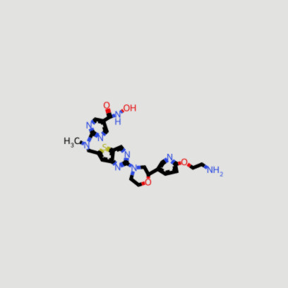 CN(Cc1cc2nc(N3CCOC(c4ccc(OCCN)nc4)C3)ncc2s1)c1ncc(C(=O)NO)cn1